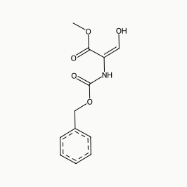 COC(=O)/C(=C\O)NC(=O)OCc1ccccc1